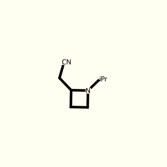 CC(C)N1CCC1CC#N